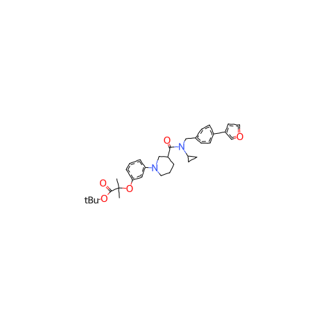 CC(C)(C)OC(=O)C(C)(C)Oc1cccc(N2CCCC(C(=O)N(Cc3ccc(-c4ccoc4)cc3)C3CC3)C2)c1